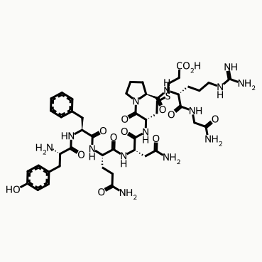 N=C(N)NCCC[C@@H](NC(=O)[C@@H]1CCCN1C(=O)[C@H](CCSCCC(=O)O)NC(=O)[C@H](CC(N)=O)NC(=O)[C@H](CCC(N)=O)NC(=O)[C@H](Cc1ccccc1)NC(=O)[C@@H](N)Cc1ccc(O)cc1)C(=O)NCC(N)=O